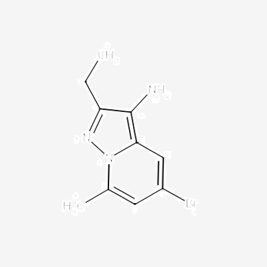 CCc1nn2c(C)cc(Br)cc2c1N